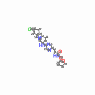 O=C(C=Cc1cnc(N[C@@H]2CCCN(Cc3cccc(Cl)c3)C2)cn1)NOC1CCCCO1